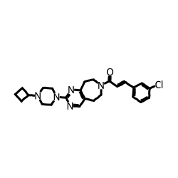 O=C(/C=C/c1cccc(Cl)c1)N1CCc2cnc(N3CCN(C4CCC4)CC3)nc2CC1